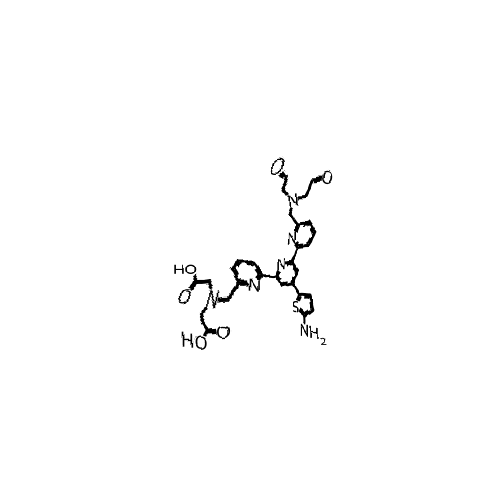 Nc1ccc(-c2cc(-c3cccc(CN(CC=O)CC=O)n3)nc(-c3cccc(CN(CC(=O)O)CC(=O)O)n3)c2)s1